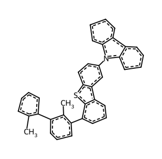 Cc1ccccc1-c1cccc(-c2cccc3c2sc2ccc(-n4c5ccccc5c5ccccc54)cc23)c1C